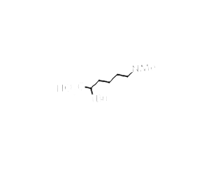 CNCCCCC(C(=O)O)C(C)(C)C